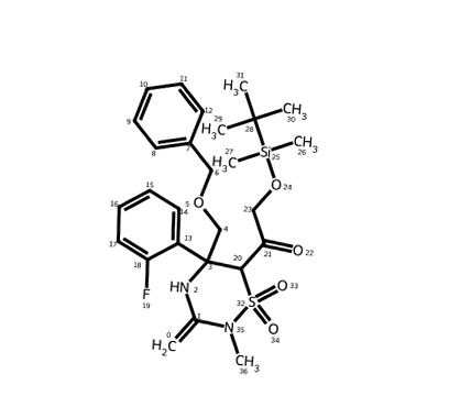 C=C1NC(COCc2ccccc2)(c2ccccc2F)C(C(=O)CO[Si](C)(C)C(C)(C)C)S(=O)(=O)N1C